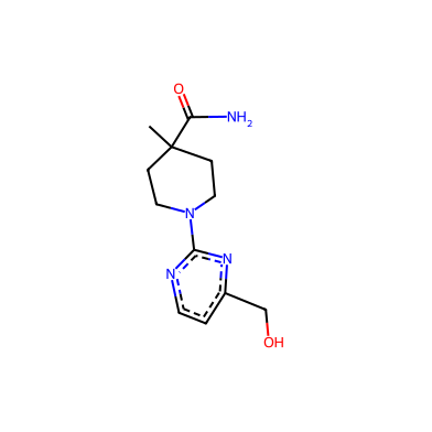 CC1(C(N)=O)CCN(c2nccc(CO)n2)CC1